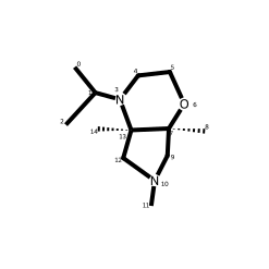 CC(C)N1CCO[C@@]2(C)CN(C)C[C@@]12C